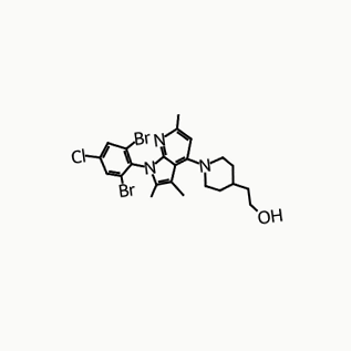 Cc1cc(N2CCC(CCO)CC2)c2c(C)c(C)n(-c3c(Br)cc(Cl)cc3Br)c2n1